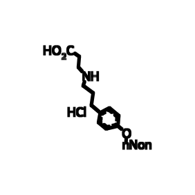 CCCCCCCCCOc1ccc(CCCNCCC(=O)O)cc1.Cl